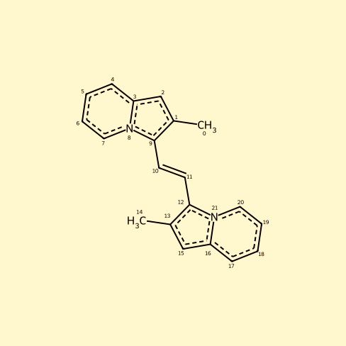 Cc1cc2ccccn2c1/C=C/c1c(C)cc2ccccn12